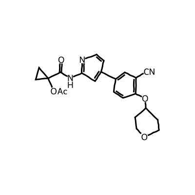 CC(=O)OC1(C(=O)Nc2cc(-c3ccc(OC4CCOCC4)c(C#N)c3)ccn2)CC1